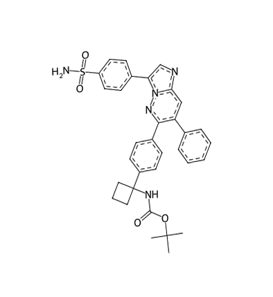 CC(C)(C)OC(=O)NC1(c2ccc(-c3nn4c(-c5ccc(S(N)(=O)=O)cc5)cnc4cc3-c3ccccc3)cc2)CCC1